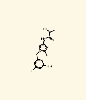 Cc1nc(NC(=O)C(C)Br)cn1Cc1cc(F)cc(C#N)c1